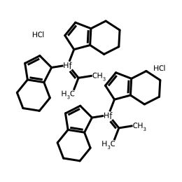 C[C](C)=[Hf]([CH]1C=CC2=C1CCCC2)[CH]1C=CC2=C1CCCC2.C[C](C)=[Hf]([CH]1C=CC2=C1CCCC2)[CH]1C=CC2=C1CCCC2.Cl.Cl